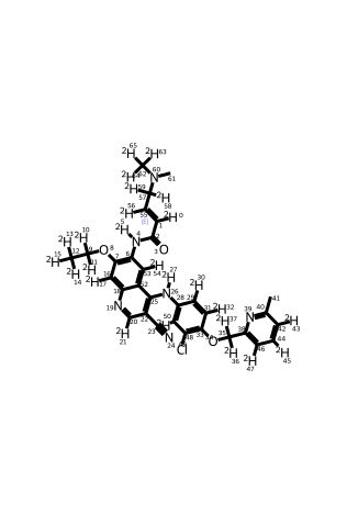 [2H]/C(C(=O)N([2H])c1c(OC([2H])([2H])C([2H])([2H])[2H])c([2H])c2nc([2H])c(C#N)c(N([2H])c3c([2H])c([2H])c(OC([2H])([2H])c4nc(C)c([2H])c([2H])c4[2H])c(Cl)c3[2H])c2c1[2H])=C(/[2H])C([2H])([2H])N(C)C([2H])([2H])[2H]